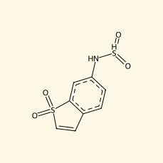 O=[SH](=O)Nc1ccc2c(c1)S(=O)(=O)C=C2